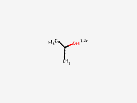 CC(C)O.[La]